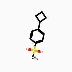 CS(=O)(=O)c1ccc([C]2CCC2)cc1